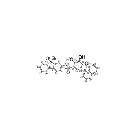 O=C(Nc1ccc2c(c1)S(=O)(=O)c1ccccc1-2)c1cc(-c2cccc3ccccc23)c(O)c(O)c1O